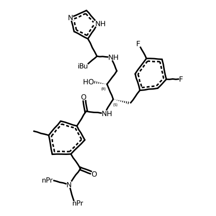 CCCN(CCC)C(=O)c1cc(C)cc(C(=O)N[C@@H](Cc2cc(F)cc(F)c2)[C@H](O)CNC(c2cnc[nH]2)C(C)CC)c1